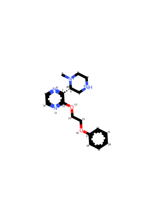 CN1CCNC[C@@H]1c1nccnc1OCCOc1ccccc1